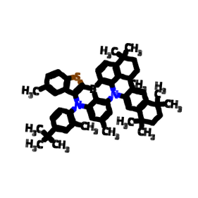 Cc1cc2c3c(c1)N(c1ccc(C(C)(C)C)cc1C)c1c(sc4ccc(C)cc14)B3c1ccc3c4c1N2c1cc2c(cc1C4(C)CCC3(C)C)C(C)(C)CCC2(C)C